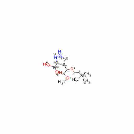 COCC(OCC[Si](C)(C)C)c1c[nH]nc1B(O)O